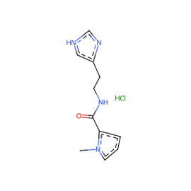 Cl.Cn1cccc1C(=O)NCCc1c[nH]cn1